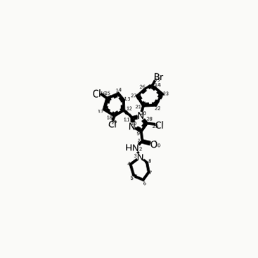 O=C(NN1CCCCC1)c1nc(-c2ccc(Cl)cc2Cl)n(-c2ccc(Br)cc2)c1Cl